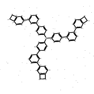 c1cc(-c2ccc(N(c3ccc(-c4cccc(-c5ccc6c(c5)CC6)c4)cc3)c3ccc(-c4cccc(-c5ccc6c(c5)CC6)c4)cc3)cc2)cc(-c2ccc3c(c2)CC3)c1